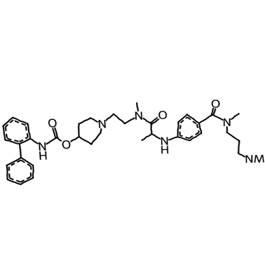 CNCCCN(C)C(=O)c1ccc(NC(C)C(=O)N(C)CCN2CCC(OC(=O)Nc3ccccc3-c3ccccc3)CC2)cc1